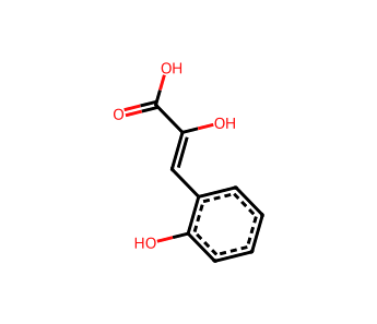 O=C(O)C(O)=Cc1ccccc1O